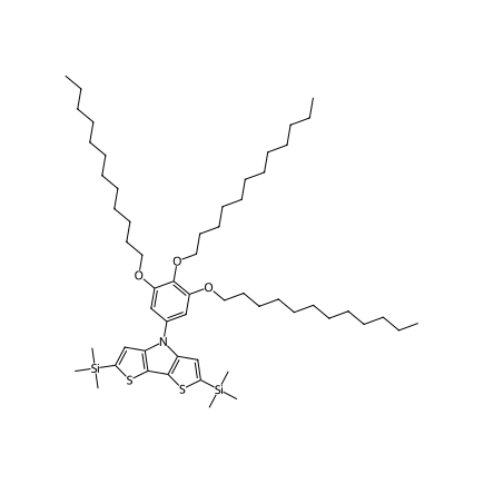 CCCCCCCCCCCCOc1cc(-n2c3cc([Si](C)(C)C)sc3c3sc([Si](C)(C)C)cc32)cc(OCCCCCCCCCCCC)c1OCCCCCCCCCCCC